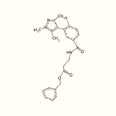 Cc1nn(C)c(C)c1-c1cc(C(=O)NCCC(=O)OCc2ccccc2)ccc1F